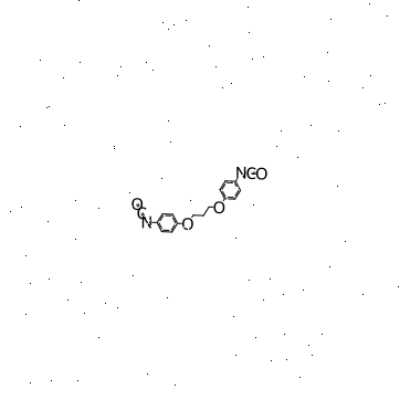 O=C=Nc1ccc(OCCCOc2ccc(N=C=O)cc2)cc1